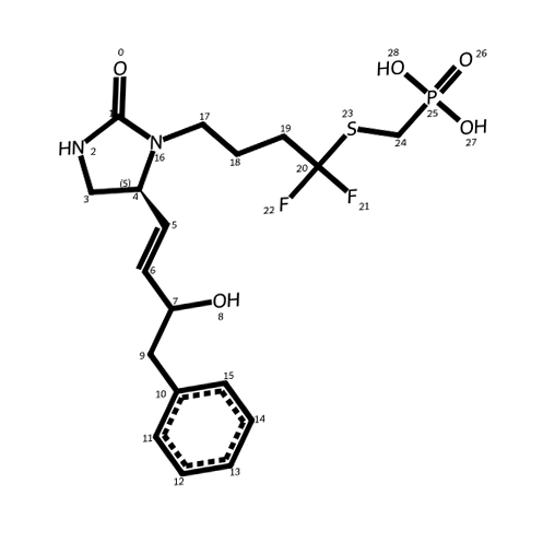 O=C1NC[C@H](C=CC(O)Cc2ccccc2)N1CCCC(F)(F)SCP(=O)(O)O